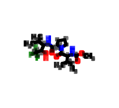 COC(=O)NC(C(=O)N1CCC[C@H]1C(=O)N[C@H](C(C)C)C(O)C(F)(F)F)C(C)C